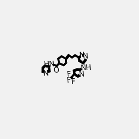 O=C(Nc1cccnc1)C1CCC(=CCCc2cc(Nc3ccc(C(F)(F)F)cn3)cnn2)CC1